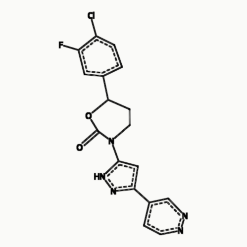 O=C1OC(c2ccc(Cl)c(F)c2)CCN1c1cc(-c2ccnnc2)n[nH]1